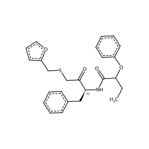 CCC(Oc1ccccc1)C(=O)N[C@@H](Cc1ccccc1)C(=O)CSCc1ccco1